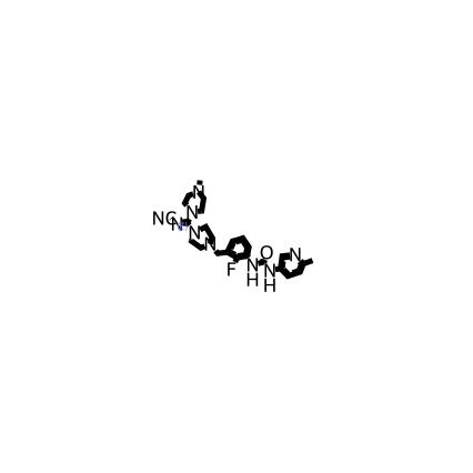 Cc1ccc(NC(=O)Nc2cccc(CN3CCN(/C(=N/C#N)N4CCN(C)CC4)CC3)c2F)cn1